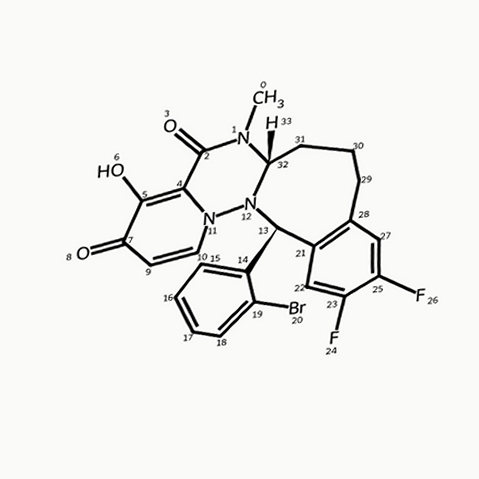 CN1C(=O)c2c(O)c(=O)ccn2N2[C@H](c3ccccc3Br)c3cc(F)c(F)cc3CCC[C@@H]12